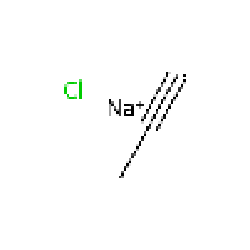 [C]#CC.[Cl-].[Na+]